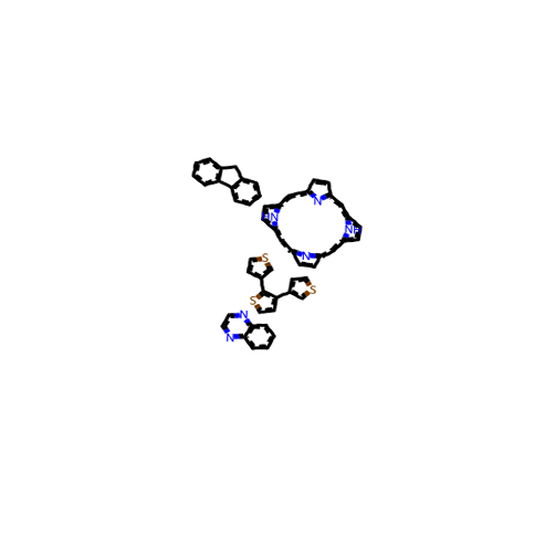 C1=Cc2cc3ccc(cc4nc(cc5ccc(cc1n2)[nH]5)C=C4)[nH]3.c1cc(-c2ccsc2-c2ccsc2)cs1.c1ccc2c(c1)Cc1ccccc1-2.c1ccc2nccnc2c1